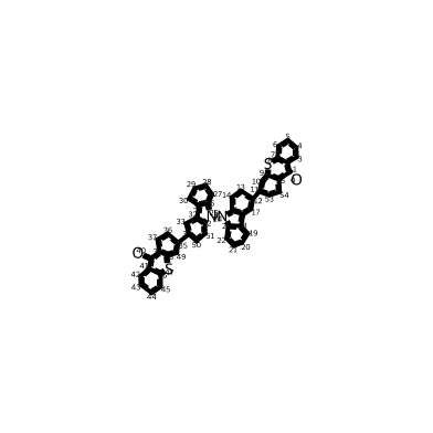 O=c1c2ccccc2sc2cc(-c3ccc4c(c3)c3ccccc3n4-n3c4ccccc4c4cc(-c5ccc6c(=O)c7ccccc7sc6c5)ccc43)ccc12